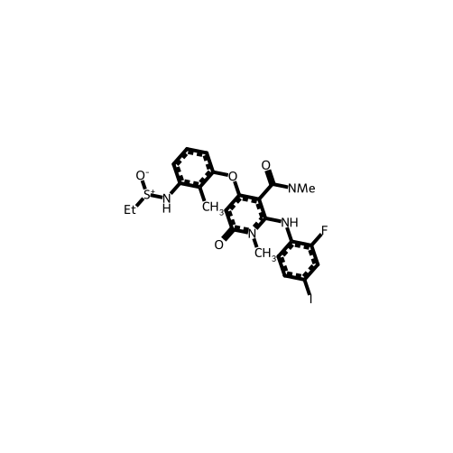 CC[S+]([O-])Nc1cccc(Oc2cc(=O)n(C)c(Nc3ccc(I)cc3F)c2C(=O)NC)c1C